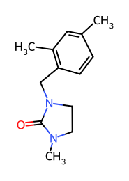 Cc1ccc(CN2CCN(C)C2=O)c(C)c1